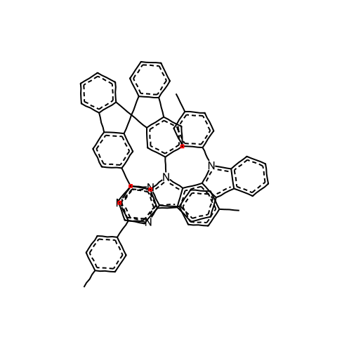 Cc1ccc(-c2nc(-c3ccc(C)cc3)nc(-c3ccc4c(c3)C3(c5ccccc5-4)c4ccccc4-c4ccc(-n5c6ccccc6c6ccc7c8ccccc8n(-c8ccc(C)cc8)c7c65)cc43)n2)cc1